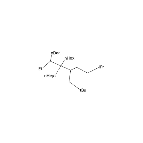 CCCCCCCCCCC(CC)C(CCCCCC)(CCCCCCC)[C](CCC(C)C)CC(C)(C)C